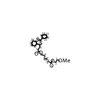 COCCOC(=O)CSSCCOC(=O)CCC(SC(=S)c1ccccc1)c1ccccc1